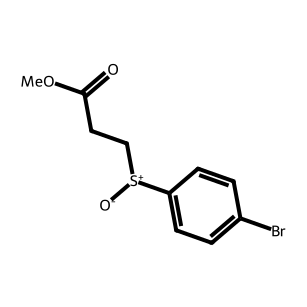 COC(=O)CC[S+]([O-])c1ccc(Br)cc1